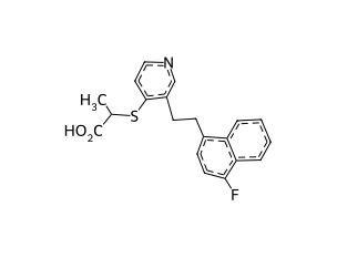 CC(Sc1ccncc1CCc1ccc(F)c2ccccc12)C(=O)O